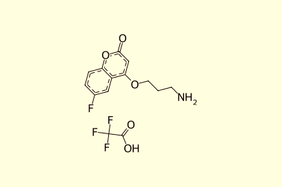 NCCCOc1cc(=O)oc2ccc(F)cc12.O=C(O)C(F)(F)F